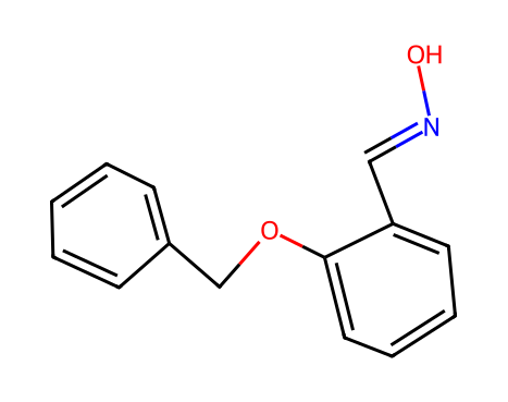 ON=Cc1ccccc1OCc1ccccc1